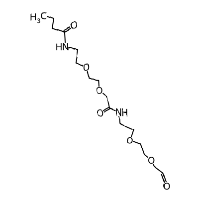 CCCC(=O)NCCOCCOCC(=O)NCCOCCOCC=O